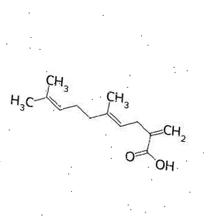 C=C(C/C=C(\C)CCC=C(C)C)C(=O)O